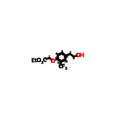 CCOC(=O)COc1ccc(CCO)cc1C(F)(F)F